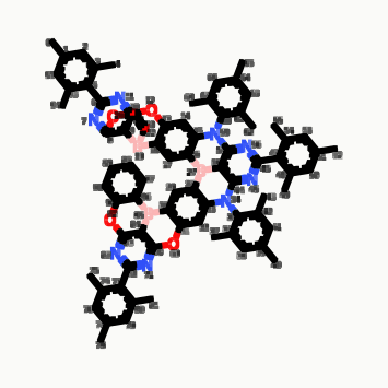 Cc1cc(C)c(-c2nc3c4c(n2)Oc2cc5c(cc2B4c2ccccc2O3)B2c3cc4c(cc3N(c3c(C)cc(C)cc3C)c3nc(-c6c(C)cc(C)cc6C)nc(c32)N5c2c(C)cc(C)cc2C)Oc2nc(-c3c(C)cc(C)cc3C)nc3c2B4c2ccccc2O3)c(C)c1